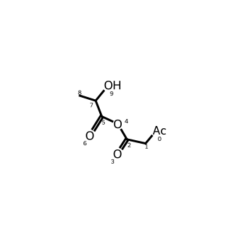 CC(=O)CC(=O)OC(=O)C(C)O